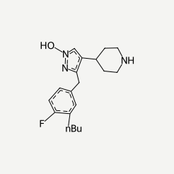 CCCCc1cc(Cc2nn(O)cc2C2CCNCC2)ccc1F